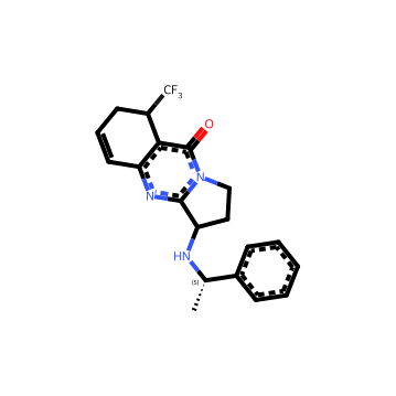 C[C@H](NC1CCn2c1nc1c(c2=O)C(C(F)(F)F)CC=C1)c1ccccc1